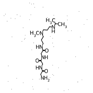 CC(C)NCCCN(C)CCCNC(=O)CNC(=O)CNC(=O)CN